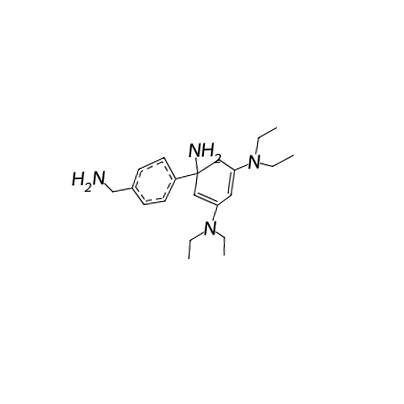 CCN(CC)C1=CC(N)(c2ccc(CN)cc2)CC(N(CC)CC)=C1